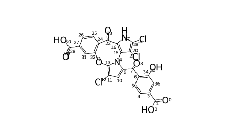 O=C(O)c1ccc(C(=O)c2cc(Cl)c3n2-c2c([nH]c(Cl)c2Cl)C(=O)c2ccc(C(=O)O)cc2O3)c(O)c1